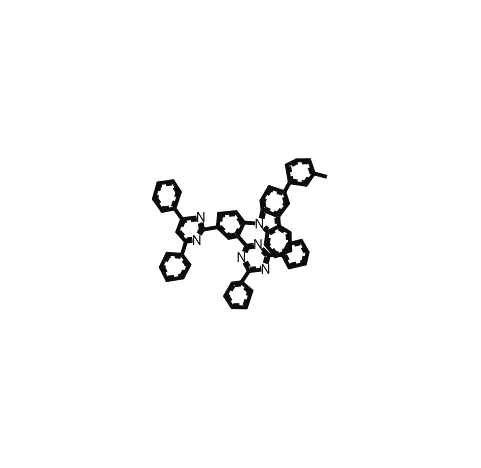 Cc1cccc(-c2ccc3c(c2)c2ccccc2n3-c2ccc(-c3nc(-c4ccccc4)cc(-c4ccccc4)n3)cc2-c2nc(-c3ccccc3)nc(-c3ccccc3)n2)c1